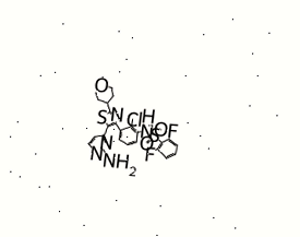 Nc1nccc(-c2sc(C3CCOCC3)nc2-c2cccc(NS(=O)(=O)c3c(F)cccc3F)c2Cl)n1